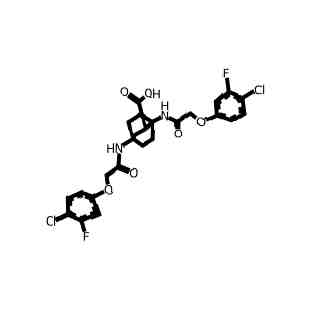 O=C(COc1ccc(Cl)c(F)c1)NC12CCC(NC(=O)COc3ccc(Cl)c(F)c3)(CC1)C(C(=O)O)C2